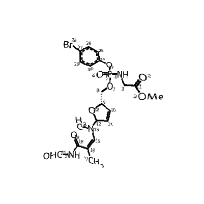 COC(=O)CNP(=O)(OC[C@@H]1C=CC(N(C)/C=C(/C)C(=O)NC=O)O1)Oc1ccc(Br)cc1